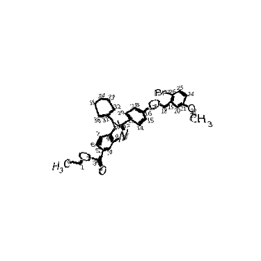 CCOC(=O)c1ccc2c(c1)nc(-c1ccc(OCc3cc(OC)ccc3Br)cc1)n2C1CCCCC1